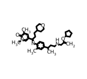 C=C(CNCCC(C)c1ccc(/N=C(\CCC2CCOCC2)c2cc(C)c(=O)n(C)c2)c(C)c1)OC1CCCC1